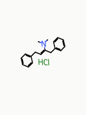 CN(C)C(=CCc1ccccc1)Cc1ccccc1.Cl